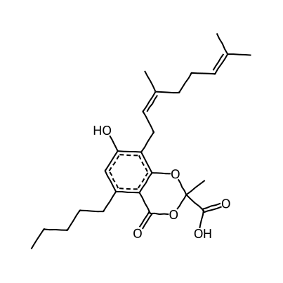 CCCCCc1cc(O)c(CC=C(C)CCC=C(C)C)c2c1C(=O)OC(C)(C(=O)O)O2